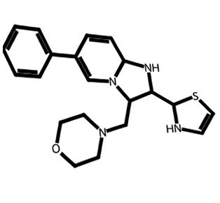 C1=CSC(C2NC3C=CC(c4ccccc4)=CN3C2CN2CCOCC2)N1